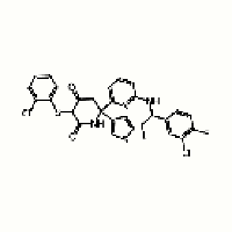 CCC(Nc1cccc(C2(c3ccsc3)CC(=O)C(Sc3ccccc3Cl)C(=O)N2)n1)c1ccc(F)c(Cl)c1